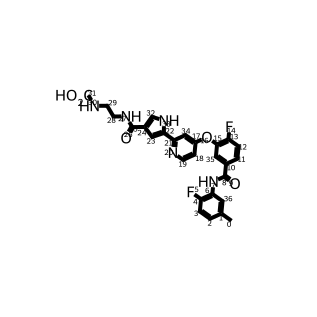 Cc1ccc(F)c(NC(=O)c2ccc(F)c(Oc3ccnc(-c4cc(C(=O)NCCNC(=O)O)c[nH]4)c3)c2)c1